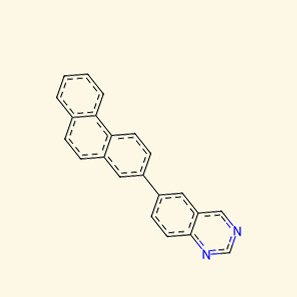 c1ccc2c(c1)ccc1cc(-c3ccc4ncncc4c3)ccc12